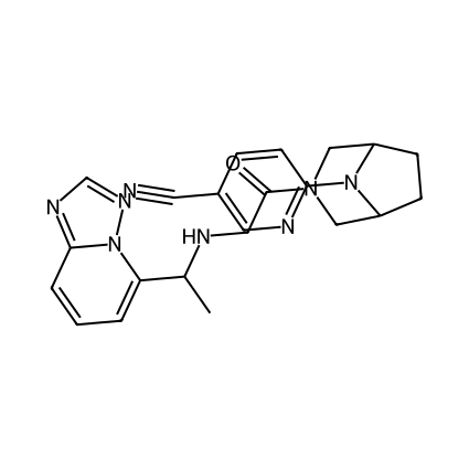 CC(NCC(=O)N1CC2CCC(C1)N2c1ccc(C#N)cn1)c1cccc2ncnn12